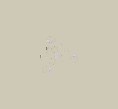 CC1(C)C2=C(C=CC(c3ccccn3)C2)N2c3ccc(-c4ccccn4)cc3C(C)(C)c3cc(-c4ccccn4)cc1c32